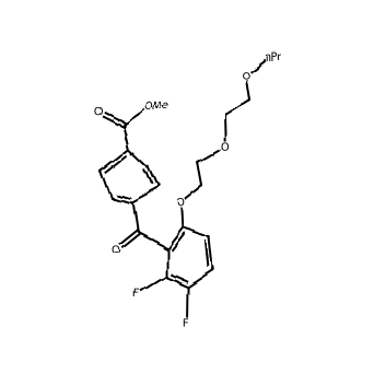 CCCOCCOCCOc1ccc(F)c(F)c1C(=O)c1ccc(C(=O)OC)cc1